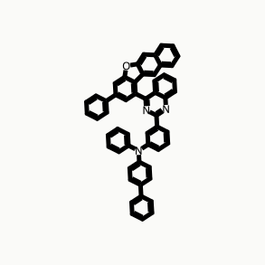 c1ccc(-c2ccc(N(c3ccccc3)c3cccc(-c4nc(-c5cc(-c6ccccc6)cc6oc7cc8ccccc8cc7c56)c5ccccc5n4)c3)cc2)cc1